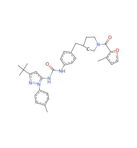 Cc1ccc(-n2nc(C(C)(C)C)cc2NC(=O)Nc2ccc(CC3CCN(C(=O)c4occc4C)CC3)cc2)cc1